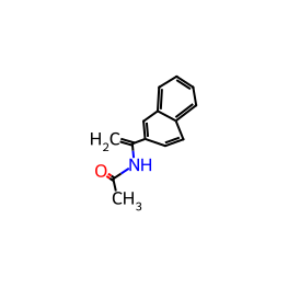 C=C(NC(C)=O)c1ccc2ccccc2c1